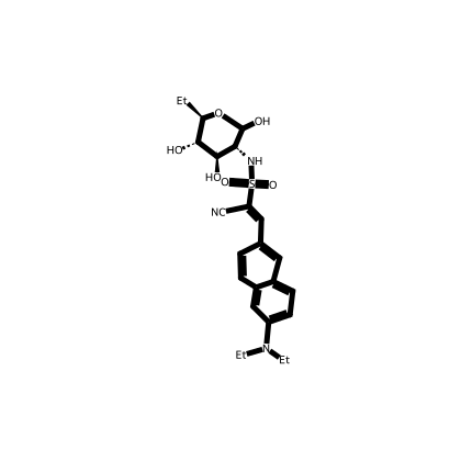 CC[C@H]1OC(O)[C@H](NS(=O)(=O)/C(C#N)=C/c2ccc3cc(N(CC)CC)ccc3c2)[C@@H](O)[C@@H]1O